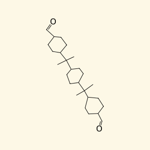 CC(C)(C1CCC(C=O)CC1)C1CCC(C(C)(C)C2CCC(C=O)CC2)CC1